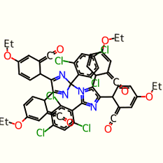 CCOC1=CC(=C=O)C(C2=NC(c3c(Cl)cc(Cl)cc3Cl)(n3c(-c4c(Cl)cc(Cl)cc4Cl)nc(C4C=CC(OCC)=CC4=C=O)c3C3C=CC(OCC)=CC3=C=O)N=C2C2C=CC(OCC)=CC2=C=O)C=C1